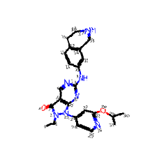 CCn1c(=O)c2cnc(Nc3ccc4c(c3)CNCC4)nc2n1-c1ccnc(OC(C)C)c1